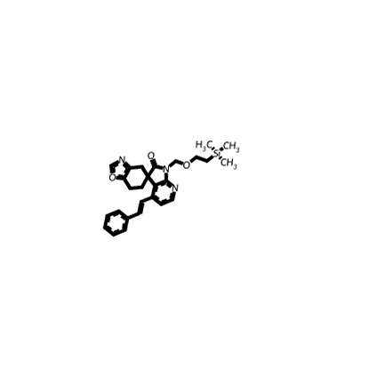 C[Si](C)(C)CCOCN1C(=O)C2(CCc3ocnc3C2)c2c(/C=C/c3ccccc3)ccnc21